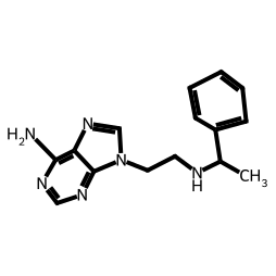 CC(NCCn1cnc2c(N)ncnc21)c1ccccc1